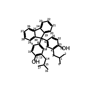 CC(C)Cc1cc(C2(c3ccc(O)c(CC(C)C)c3)c3ccccc3-c3ccccc32)ccc1O